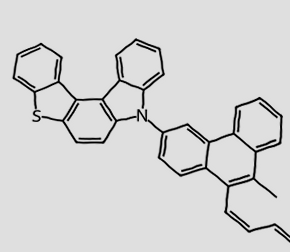 C=C/C=C\c1c(C)c2ccccc2c2cc(-n3c4ccccc4c4c5c(ccc43)sc3ccccc35)ccc12